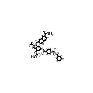 CC(C)c1nc2c(OC(=O)O)cc(NC(=O)C3CCN(C(=O)OCc4ccccc4)CC3)cc2n1Cc1ccc2ccc(C(=N)N)cc2c1